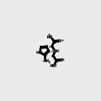 Nc1ccc[nH]1.O=C(O)CNCC(=O)O